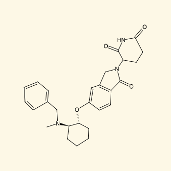 CN(Cc1ccccc1)[C@@H]1CCCC[C@H]1Oc1ccc2c(c1)CN(C1CCC(=O)NC1=O)C2=O